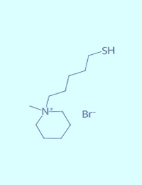 C[N+]1(CCCCCS)CCCCC1.[Br-]